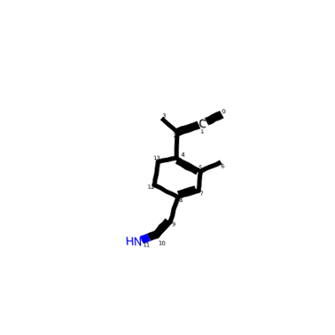 C=C=C(C)C1=C(C)C=C(C=C=N)CC1